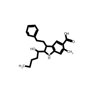 CCCCC(O)C1Nc2cc(C)c(C(=O)O)cc2C1CCc1ccccc1